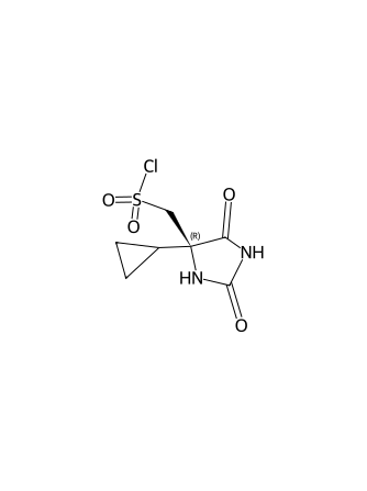 O=C1NC(=O)[C@@](CS(=O)(=O)Cl)(C2CC2)N1